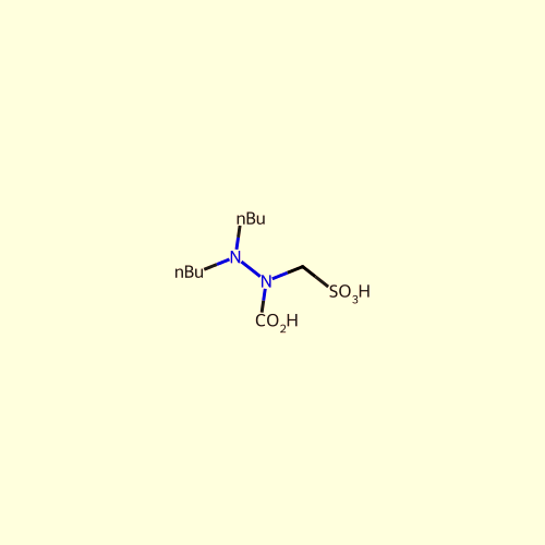 CCCCN(CCCC)N(CS(=O)(=O)O)C(=O)O